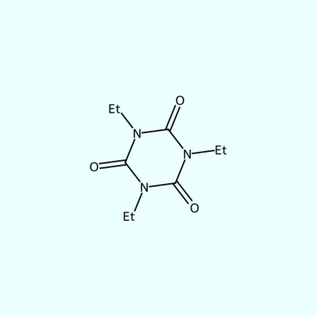 CCn1c(=O)n(CC)c(=O)n(CC)c1=O